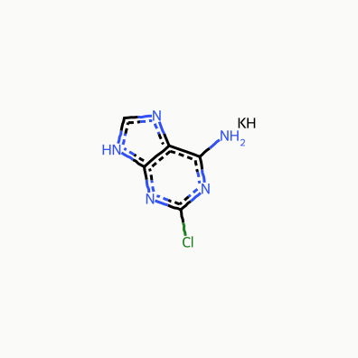 Nc1nc(Cl)nc2[nH]cnc12.[KH]